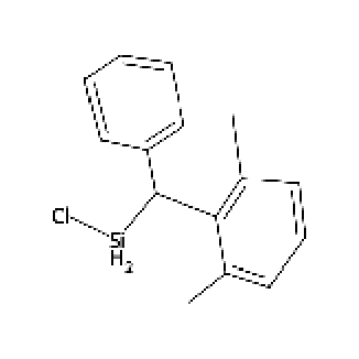 Cc1cccc(C)c1C([SiH2]Cl)c1ccccc1